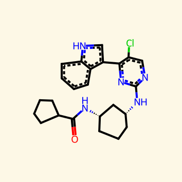 O=C(N[C@H]1CCC[C@@H](Nc2ncc(Cl)c(-c3c[nH]c4ccccc34)n2)C1)C1CCCC1